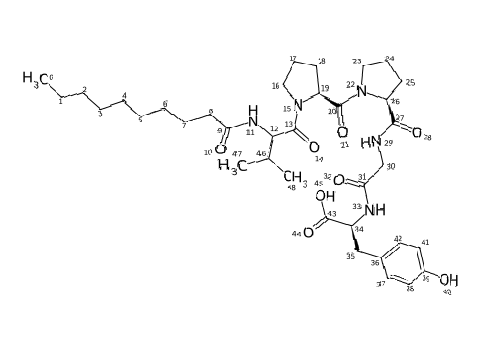 CCCCCCCCCC(=O)NC(C(=O)N1CCC[C@H]1C(=O)N1CCC[C@H]1C(=O)NCC(=O)N[C@@H](Cc1ccc(O)cc1)C(=O)O)C(C)C